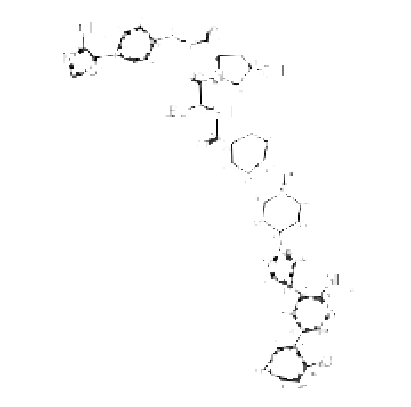 Cc1ncsc1-c1ccc(CNC(=O)[C@@H]2C[C@@H](O)CN2C(=O)[C@@H](NC(=O)[C@H]2CC[C@@H](CN3CCC(n4cc(-c5cc(-c6ccccc6O)nnc5N)cn4)CC3)CC2)C(C)(C)C)cc1